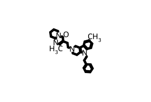 Cc1ccc2c(c1)c1c(n2CCc2ccccc2)CCN(CCc2c(C)nc3n(c2=O)CCCC3)C1